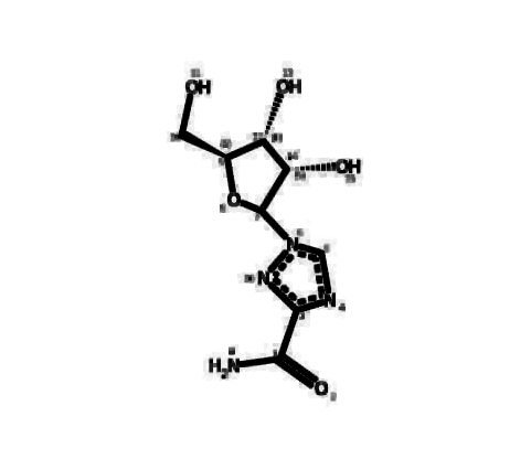 NC(=O)c1ncn(C2O[C@@H](CO)[C@H](O)[C@@H]2O)n1